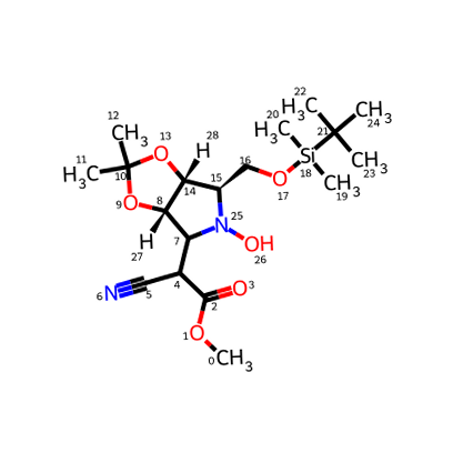 COC(=O)C(C#N)C1[C@@H]2OC(C)(C)O[C@@H]2[C@@H](CO[Si](C)(C)C(C)(C)C)N1O